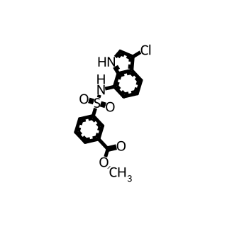 COC(=O)c1cccc(S(=O)(=O)Nc2cccc3c(Cl)c[nH]c23)c1